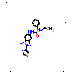 C=CCN(C(=O)Nc1ccc2[nH]c(-c3cscn3)nc2c1)c1ccccc1